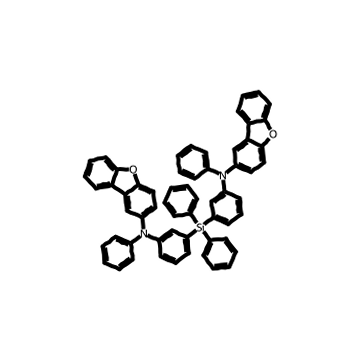 c1ccc(N(c2cccc([Si](c3ccccc3)(c3ccccc3)c3cccc(N(c4ccccc4)c4ccc5oc6ccccc6c5c4)c3)c2)c2ccc3oc4ccccc4c3c2)cc1